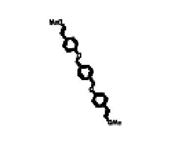 COC=Cc1ccc(OCc2ccc(COc3ccc(C=COC)cc3)cc2)cc1